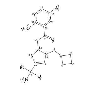 CCC(N)(CC)C1=CN(CC2CCC2)C(=CC(=O)c2cc(Cl)ccc2OC)S1